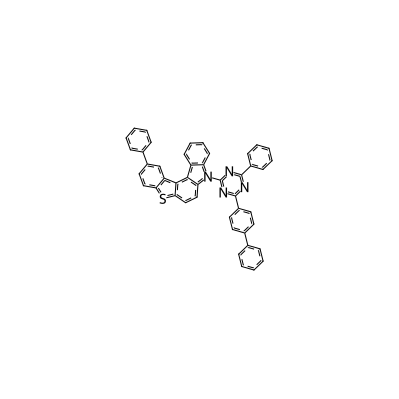 c1ccc(-c2ccc(-c3nc(-c4ccccc4)nc(-n4c5ccccc5c5c6c(ccc54)sc4ccc(-c5ccccc5)cc46)n3)cc2)cc1